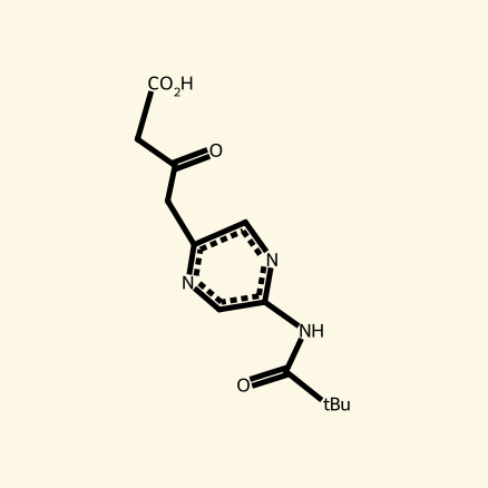 CC(C)(C)C(=O)Nc1cnc(CC(=O)CC(=O)O)cn1